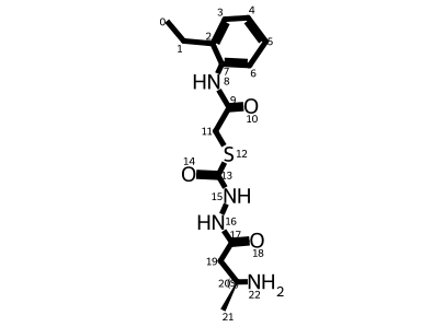 CCc1ccccc1NC(=O)CSC(=O)NNC(=O)C[C@H](C)N